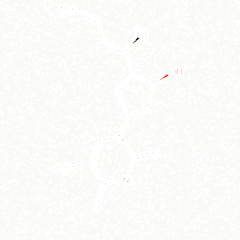 [2H][C@H](CCC)[C@H]1O[C@@H](n2cc(C)c(=O)[nH]c2=O)C[C@@H]1O